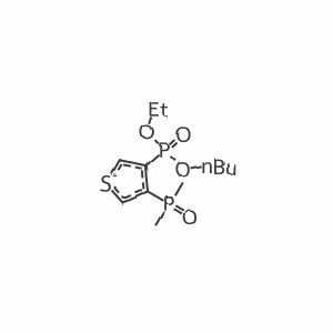 CCCCOP(=O)(OCC)c1cscc1P(C)(C)=O